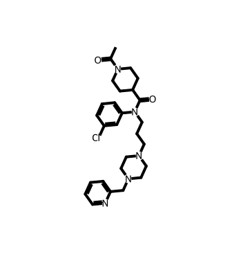 CC(=O)N1CCC(C(=O)N(CCCN2CCN(Cc3ccccn3)CC2)c2cccc(Cl)c2)CC1